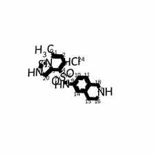 CC1=CC=C(S(=O)(=O)Nc2ccc3c(c2)CCNC3)C2=CNSN12.Cl